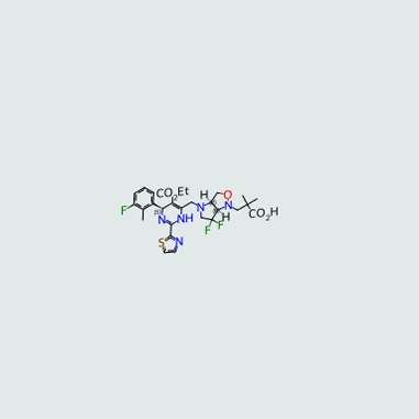 CCOC(=O)C1=C(CN2CC(F)(F)[C@H]3[C@@H]2CON3CC(C)(C)C(=O)O)NC(c2nccs2)=N[C@H]1c1cccc(F)c1C